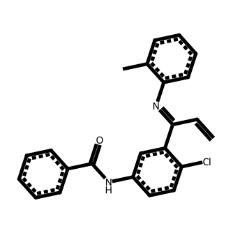 C=C/C(=N\c1ccccc1C)c1cc(NC(=O)c2ccccc2)ccc1Cl